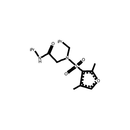 Cc1coc(C)c1S(=O)(=O)N(CC(=O)NC(C)C)CC(C)C